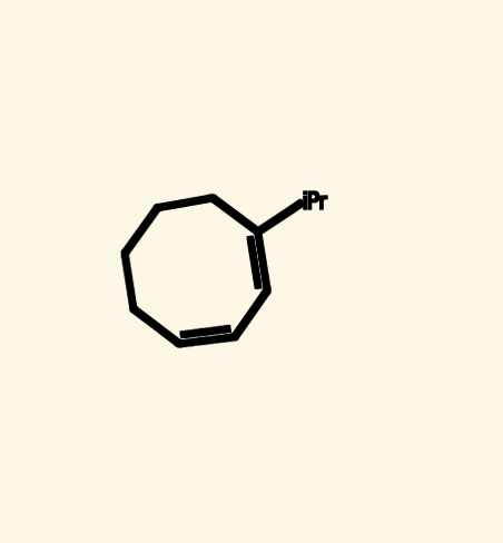 CC(C)C1=CC=CCCCC1